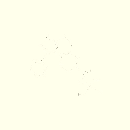 CC(C)(C)OC(=O)N1CCc2c(cnc3[nH]nc(-c4ccccc4)c23)C1